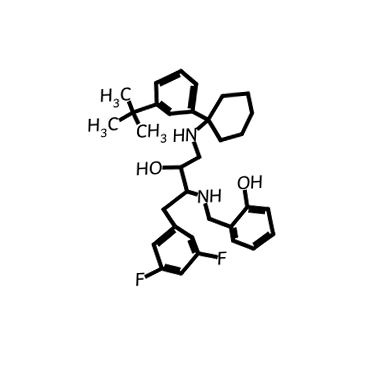 CC(C)(C)c1cccc(C2(NCC(O)C(Cc3cc(F)cc(F)c3)NCc3ccccc3O)CCCCC2)c1